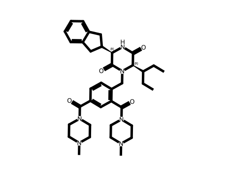 CCC(CC)[C@@H]1C(=O)N[C@H](C2Cc3ccccc3C2)C(=O)N1Cc1ccc(C(=O)N2CCN(C)CC2)cc1C(=O)N1CCN(C)CC1